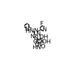 CNC(=O)[C@@H]1[C@@H](O)[C@@H](O)[C@H](n2cnc3c(NCc4ccccn4)nc(-c4cncc(F)c4)nc32)S1(=O)=O